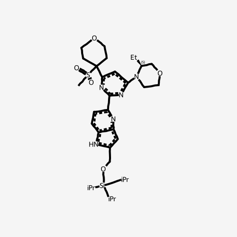 CC[C@H]1COCCN1c1cc(C2(S(C)(=O)=O)CCOCC2)nc(-c2ccc3[nH]c(CO[Si](C(C)C)(C(C)C)C(C)C)cc3n2)n1